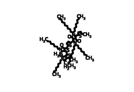 C=C1c2c(C)sc(-c3sc(-c4ccc(C5=C6C(=O)N(C(CCCCCCCC)CCCCCCCCCC)C(c7ccc(C)s7)=C6C(=O)N5C(CCCCCCCC)CCCCCCCCCC)s4)c4c3C(=C)N(CCCCCCCC)C4=O)c2C(=O)N1CCCCCCCC